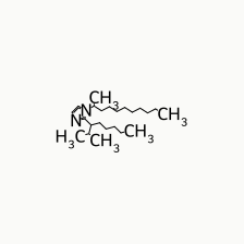 CCCCCCCCCC(C)n1ccnc1C(CCCCC)C(C)C